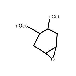 CCCCCCCCC1CC2OC2CC1CCCCCCCC